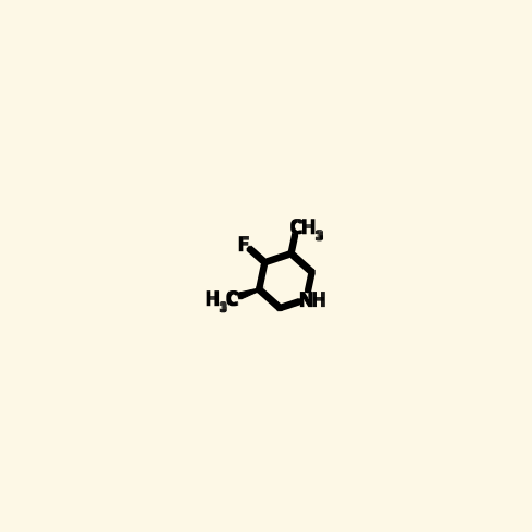 CC1CNC[C@@H](C)C1F